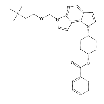 C[Si](C)(C)CCOCn1ccc2c1ncc1ccn([C@H]3CC[C@@H](OC(=O)c4ccccc4)CC3)c12